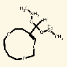 C[SiH2]OC(O[SiH2]C)(C1=CCCCCCCCCCC1)C(C)C